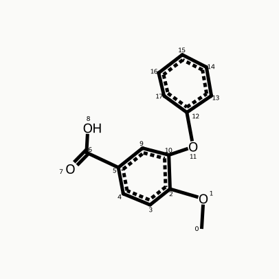 COc1ccc(C(=O)O)cc1Oc1ccccc1